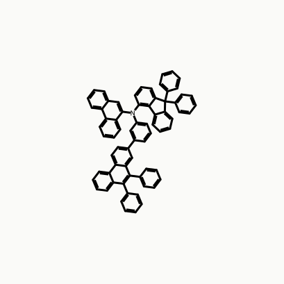 c1ccc(-c2c(-c3ccccc3)c3cc(-c4cccc(N(c5cccc6c5-c5ccccc5C6(c5ccccc5)c5ccccc5)c5cc6ccccc6c6ccccc56)c4)ccc3c3ccccc23)cc1